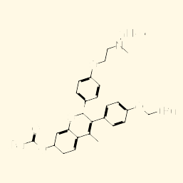 CCCCCCN(C)CCOc1ccc([C@@H]2OC3=CC(OC(=O)C(C)(C)C)CC=C3C(C)=C2c2ccc(OCC(C)(C)C)cc2)cc1